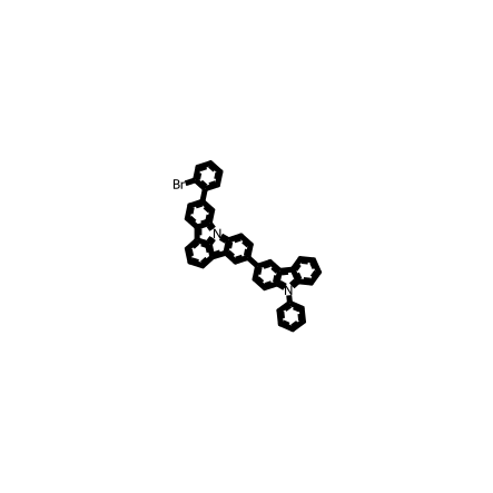 Brc1ccccc1-c1ccc2c3cccc4c5cc(-c6ccc7c(c6)c6ccccc6n7-c6ccccc6)ccc5n(c2c1)c43